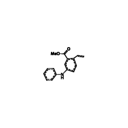 C=Cc1ccc(Nc2ccccc2)cc1C(=O)OC